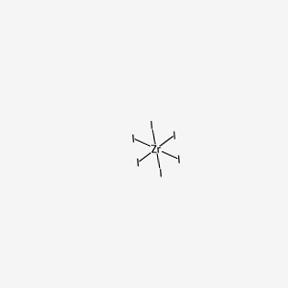 [I][Zr]([I])([I])([I])([I])[I]